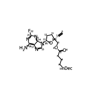 C#C[C@@]1(COC(=O)CCCCCCCCCCCCC)CC[C@H](n2cnc3c(N)nc(F)nc32)O1